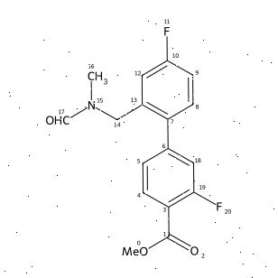 COC(=O)c1ccc(-c2ccc(F)cc2CN(C)C=O)cc1F